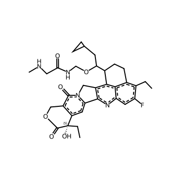 CCc1c(F)cc2nc3c(c4c2c1CCC4C(CC1CC1)OCNC(=O)CNC)Cn1c-3cc2c(c1=O)COC(=O)[C@]2(O)CC